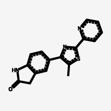 Cc1sc(-c2ccccn2)nc1-c1ccc2c(c1)CC(=O)N2